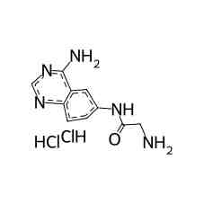 Cl.Cl.NCC(=O)Nc1ccc2ncnc(N)c2c1